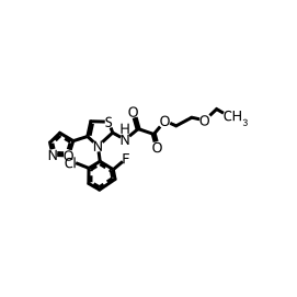 CCOCCOC(=O)C(=O)NC1SC=C(c2ccno2)N1c1c(F)cccc1Cl